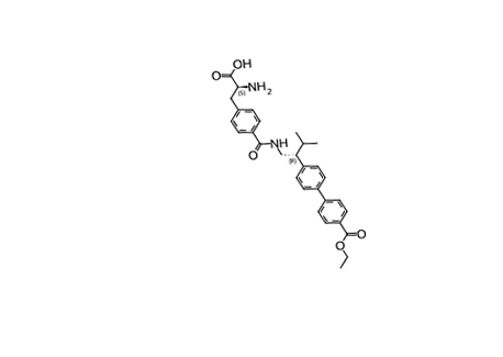 CCOC(=O)c1ccc(-c2ccc([C@H](CNC(=O)c3ccc(C[C@H](N)C(=O)O)cc3)C(C)C)cc2)cc1